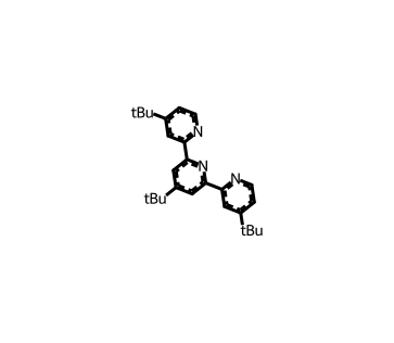 CC(C)(C)c1ccnc(-c2cc(C(C)(C)C)cc(-c3cc(C(C)(C)C)ccn3)n2)c1